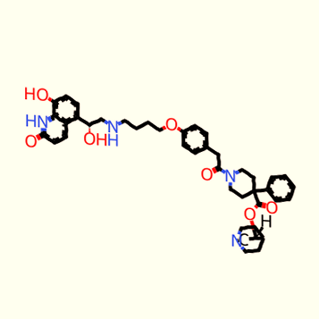 O=C(Cc1ccc(OCCCCNC[C@H](O)c2ccc(O)c3[nH]c(=O)ccc23)cc1)N1CCC(C(=O)O[C@H]2CN3CCC2CC3)(c2ccccc2)CC1